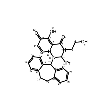 CC(C)C1N(CCO)C(=O)c2c(O)c(=O)ccn2N1C1c2ccccc2CCc2ccccc21